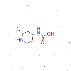 C[C@@H]1C[C@H](NC(=O)O)CCN1